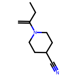 C=C(CC)N1CCC(C#N)CC1